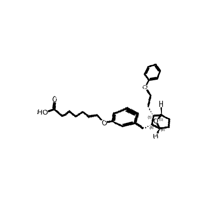 O=C(O)CCCCCCOc1cccc(C[C@@H]2[C@H](CCOc3ccccc3)[C@@H]3CC[C@H]2O3)c1